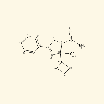 NC(=O)C1SC(c2ccccc2)=NC1(C1CCC1)C(F)(F)F